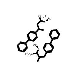 CC(=O)SC(C(=O)O)C(C)Cc1ccc(-c2ccccc2)cc1.CC(=O)SC(CC(C)c1ccc(-c2ccccc2)cc1)C(=O)O